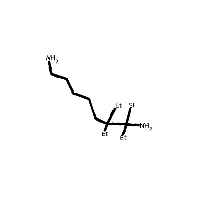 CCC(N)(CC)C(CC)(CC)CCCCCN